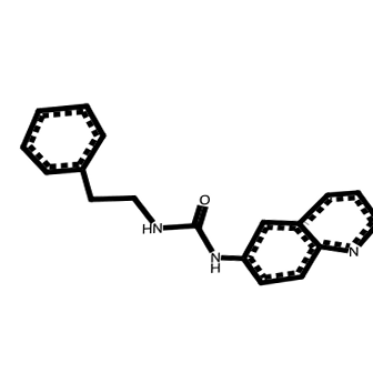 O=C(NCCc1ccccc1)Nc1ccc2ncccc2c1